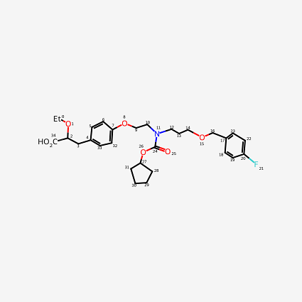 CCOC(Cc1ccc(OCCN(CCCOCc2ccc(F)cc2)C(=O)OC2CCCC2)cc1)C(=O)O